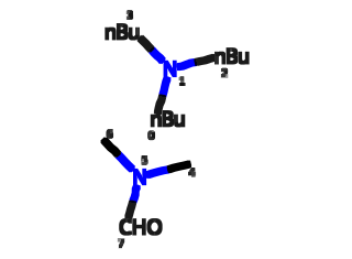 CCCCN(CCCC)CCCC.CN(C)C=O